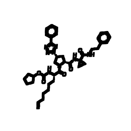 C=CCCCCC[C@H](NC(=O)OC1CCCC1)C(=O)N1C[C@H](n2nnc(-c3ccccc3)n2)C[C@H]1C(=O)NC1(C(=O)NCCc2ccccc2)CC1